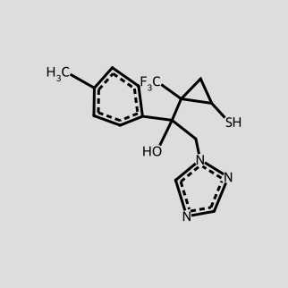 Cc1ccc(C(O)(Cn2cncn2)C2(C(F)(F)F)CC2S)cc1